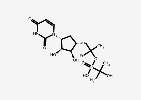 CCC(C)(C[C@H]1C[C@@H](n2ccc(=O)[nH]c2=O)[C@H](O)[C@@H]1O)OP(=O)(O)C(C)(C)O